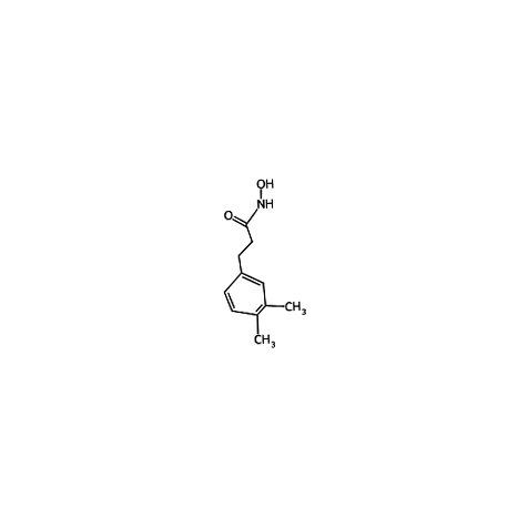 Cc1ccc(CCC(=O)NO)cc1C